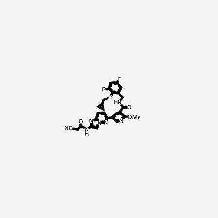 COc1ncc(-c2ccc3nc(NC(=O)CC#N)cn3n2)cc1C(=O)NCc1cc(F)cc(F)c1OCC1CC1